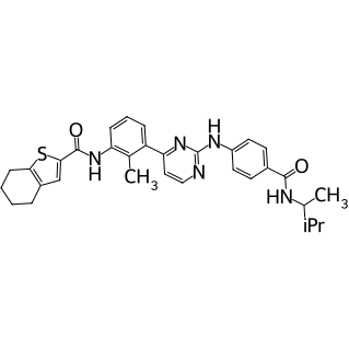 Cc1c(NC(=O)c2cc3c(s2)CCCC3)cccc1-c1ccnc(Nc2ccc(C(=O)NC(C)C(C)C)cc2)n1